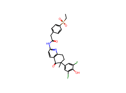 CCS(=O)(=O)c1ccc(CC(=O)Nc2ccc3c(n2)CCC(C)(c2cc(F)c(O)c(F)c2)C3=O)cc1